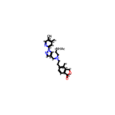 CC(=O)NCCN(CCc1ccc2c(c1C)COC2=O)Cc1cnn(-c2cc(C)c(C#N)cn2)c1